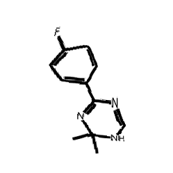 CC1(C)N=C(c2ccc(F)cc2)N=CN1